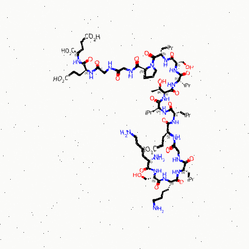 CC(C)C[C@H](NC(=O)[C@H](CCCCN)NC(=O)[C@H](CO)NC(=O)[C@@H](N)CCCCN)C(=O)NCC(=O)N[C@@H](CCC(=O)O)C(=O)N[C@@H](CC(C)C)C(=O)N[C@H](C(=O)N[C@H](C(=O)N[C@H](C(=O)N[C@@H](CO)C(=O)N[C@@H](CC(C)C)C(=O)N1CCC[C@H]1C(=O)NCC(=O)NCC(=O)N[C@@H](CCC(=O)O)C(=O)N[C@@H](CCC(=O)O)C(=O)O)C(C)C)[C@@H](C)O)C(C)C